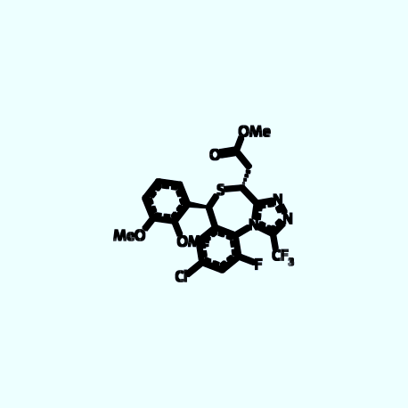 COC(=O)C[C@H]1S[C@H](c2cccc(OC)c2OC)c2cc(Cl)cc(F)c2-n2c1nnc2C(F)(F)F